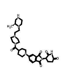 C[C@H]1CNCCN1CCN1CCN(C(=O)C2CCN(c3ccc4c(c3)C(=O)N(C3CCC(=O)NC3=O)C4=O)CC2)CC1